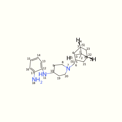 CC1(C)[C@@H]2C[C@H](CN3CCC(Nc4ccccc4N)CC3)C[C@H]1C2